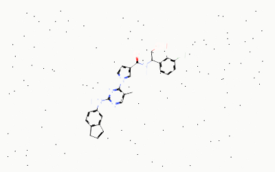 Cc1cnc(Nc2ccc3c(c2)C=CC3)nc1-n1ccc(C(=O)NC(CO)c2cccc(Cl)c2)c1